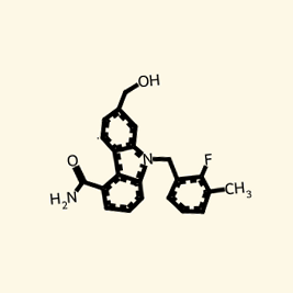 Cc1cccc(Cn2c3cc(CO)c[c]c3c3c(C(N)=O)cccc32)c1F